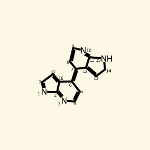 C1=Nc2nccc(=c3ccnc4c3=CCN4)c2=C1